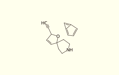 C#CC1C=CC2(CCNCC2)O1.c1cc2cc-2c1